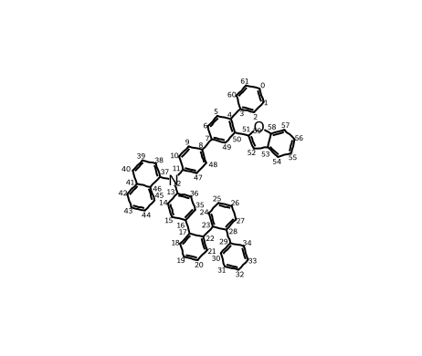 c1ccc(-c2ccc(-c3ccc(N(c4ccc(-c5ccccc5-c5ccccc5-c5ccccc5)cc4)c4cccc5ccccc45)cc3)cc2-c2cc3ccccc3o2)cc1